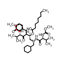 CCCCCCCC(=O)O[C@@H](CN(CC1CCCCC1)NC(=O)[C@@H](NC(=O)OC)C(C)C)C(C(=O)[C@@H](NC(=O)OC)C(C)C)C(N)c1ccccc1